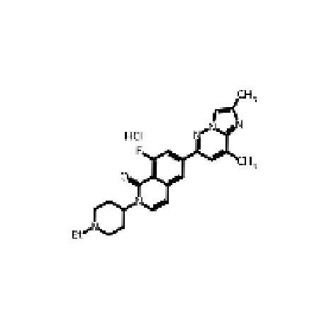 CCN1CCC(n2ccc3cc(-c4cc(C)c5nc(C)cn5n4)cc(F)c3c2=O)CC1.Cl